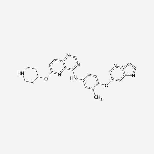 Cc1cc(Nc2ncnc3ccc(OC4CCNCC4)nc23)ccc1Oc1cnn2ccnc2c1